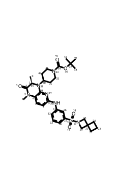 C[C@@H]1C(=O)N(C)c2ccc(Nc3cccc(S(=O)(=O)N4CC5(CCC5)C4)c3)nc2N1C1CCN(C(=O)OC(C)(C)C)CC1